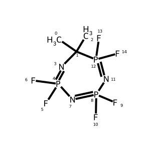 CC1(C)N=P(F)(F)N=P(F)(F)N=P1(F)F